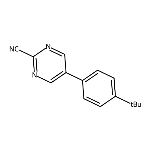 CC(C)(C)c1ccc(-c2cnc(C#N)nc2)cc1